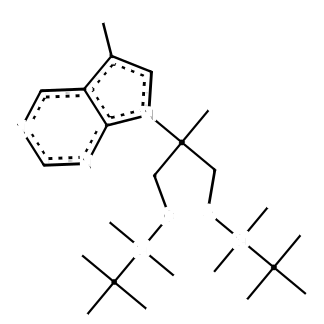 CC(CO[Si](C)(C)C(C)(C)C)(CO[Si](C)(C)C(C)(C)C)n1cc(I)c2cncnc21